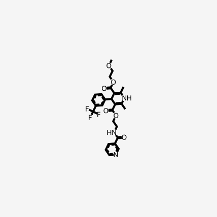 COCCOC(=O)C1=C(C)NC(C)=C(C(=O)OCCNC(=O)c2cccnc2)C1c1cccc(C(F)(F)F)c1